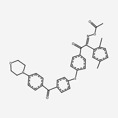 CC(=O)O/N=C(/C(=O)c1ccc(Sc2ccc(C(=O)c3ccc(N4CCOCC4)cc3)cc2)cc1)c1cc(C)ccc1C